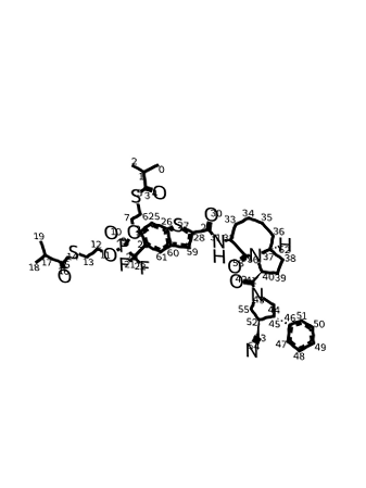 CC(C)C(=O)SCCOP(=O)(OCCSC(=O)C(C)C)C(F)(F)c1ccc2sc(C(=O)N[C@H]3CCCC[C@H]4CC[C@@H](C(=O)N5C[C@H](c6ccccc6)[C@@H](C#N)C5)N4C3=O)cc2c1